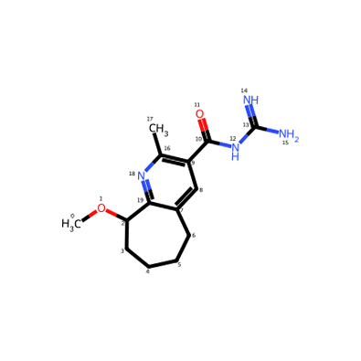 COC1CCCCc2cc(C(=O)NC(=N)N)c(C)nc21